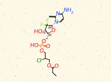 C=C1N=C(N)C=CN1[C@@H]1O[C@H](COP(=O)(O)OCC(Cl)COC(=O)CC)[C@H](O)C1(F)F